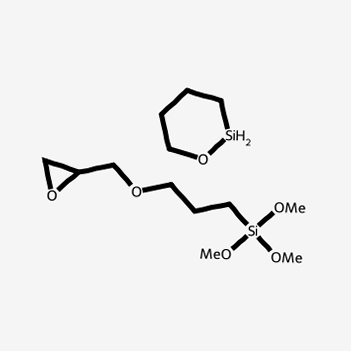 C1CC[SiH2]OC1.CO[Si](CCCOCC1CO1)(OC)OC